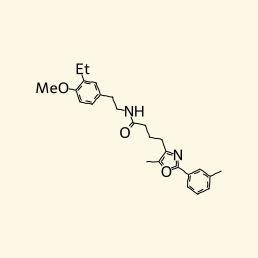 CCc1cc(CCNC(=O)CCCc2nc(-c3cccc(C)c3)oc2C)ccc1OC